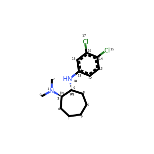 CN(C)[C@@H]1CCCCC[C@H]1Nc1ccc(Cl)c(Cl)c1